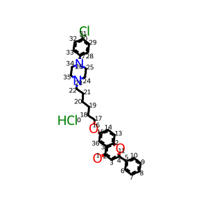 Cl.O=c1cc(-c2ccccc2)oc2ccc(OCCCCCCN3CCN(c4ccc(Cl)cc4)CC3)cc12